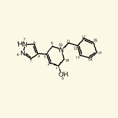 OC1C=C(c2cn[nH]c2)CN(Cc2ccccc2)C1